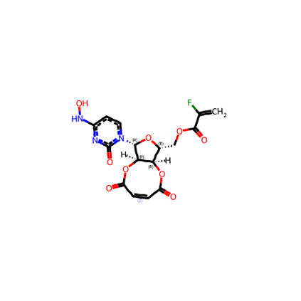 C=C(F)C(=O)OC[C@H]1O[C@@H](n2ccc(NO)nc2=O)[C@@H]2OC(=O)/C=C\C(=O)O[C@@H]21